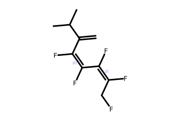 C=C(/C(F)=C(F)\C(F)=C(\F)CF)C(C)C